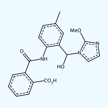 COc1nccn1C(O)c1cc(C)ccc1NC(=O)c1ccccc1C(=O)O